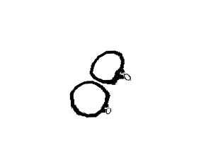 C1CCCCCC2OC2CCCC1.C1CCCCCC2OC2CCCC1